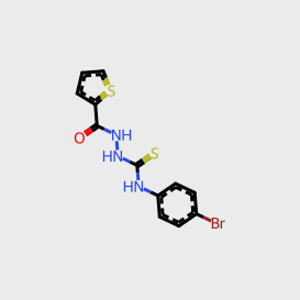 O=C(NNC(=S)Nc1ccc(Br)cc1)c1cccs1